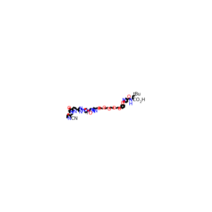 C[C@@H]1CN(c2ncc(-c3ccc4c(n3)N(Cc3cccnc3C#N)C(C)(C)C4=O)cn2)CCN1C(=O)Cn1cc(COCCOCCOCCOCCOc2cccc(Oc3ccc(C(=O)N[C@@H](CCC(C)(C)C)C(=O)O)cn3)c2)nn1